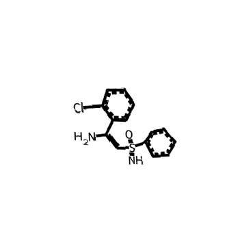 N=S(=O)(/C=C(/N)c1ccccc1Cl)c1ccccc1